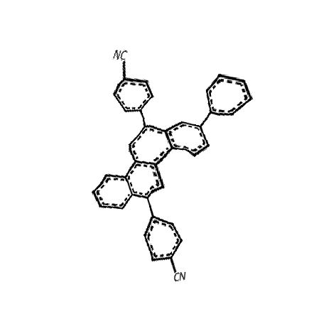 N#Cc1ccc(-c2cc3c4ccc(-c5ccccc5)cc4c(-c4ccc(C#N)cc4)cc3c3ccccc23)cc1